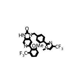 COc1cccc(C(F)(F)F)c1-c1cc2c(cn1)[nH]c(=O)n2Cc1ccc(-c2nc(C(F)(F)F)cn2C)cc1